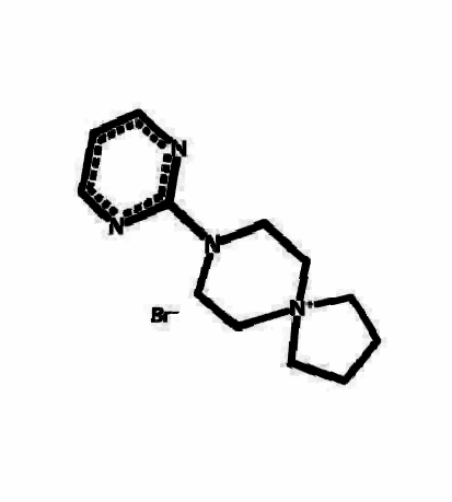 [Br-].c1cnc(N2CC[N+]3(CCCC3)CC2)nc1